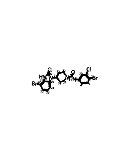 O=C(Nc1ccc(Br)c(Cl)c1)N1CCC(n2c(=O)[nH]c3c(Br)cccc32)CC1